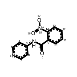 O=C(Nc1ccncc1)c1ccccc1[N+](=O)[O-]